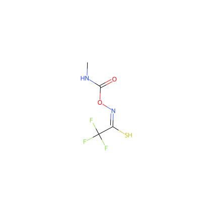 CNC(=O)O/N=C(/S)C(F)(F)F